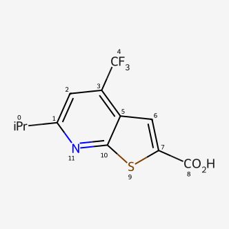 CC(C)c1cc(C(F)(F)F)c2cc(C(=O)O)sc2n1